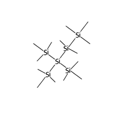 C[Si](C)(C)[Si](C)(C)[Si]([Si](C)(C)C)([Si](C)(C)C)[Si](C)(C)C